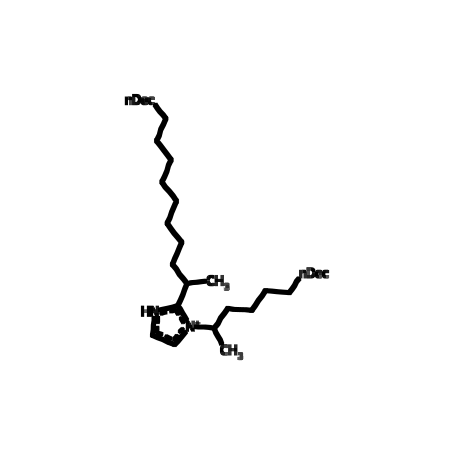 CCCCCCCCCCCCCCCCCCC(C)c1[nH]cc[n+]1C(C)CCCCCCCCCCCCCC